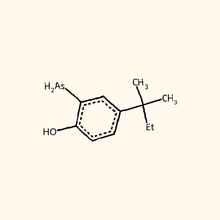 CCC(C)(C)c1ccc(O)c([AsH2])c1